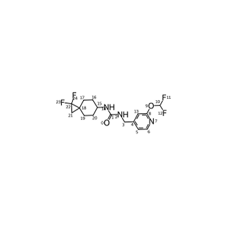 O=C(NCc1ccnc(OC(F)F)c1)NC1CCC2(CC1)CC2(F)F